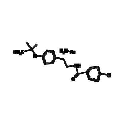 CC(C)(Oc1ccc(CCNC(=O)c2ccc(Cl)cc2)cc1)C(=O)O.CC(N)=O